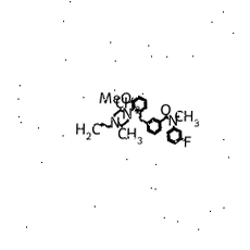 C=CCN1C[C@H](C)N(c2c(Cc3cccc(C(=O)N(C)c4cccc(F)c4)c3)cccc2OC)C[C@H]1C